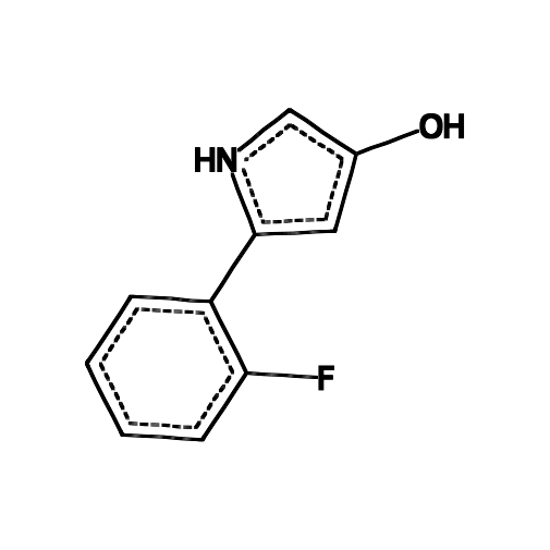 Oc1c[nH]c(-c2ccccc2F)c1